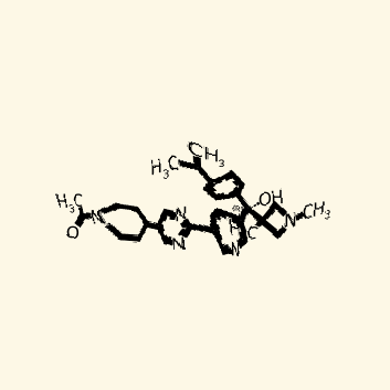 CC(=O)N1CCC(c2cnc(-c3cncc([C@@](O)(c4ccc(C(C)C)cc4)C4(C)CN(C)C4)c3)nc2)CC1